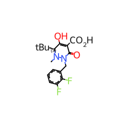 CN1[C@@H](C(C)(C)C)C(O)=C(C(=O)O)C(=O)N1Cc1cccc(F)c1F